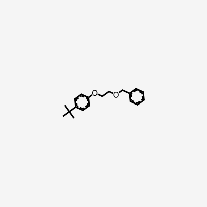 CC(C)(C)c1ccc(OCCOCc2ccccc2)cc1